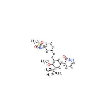 COc1c(CCc2cccc(NS(C)(=O)=O)c2)cc(-c2ccc[nH]c2=O)cc1C(C)(C)C